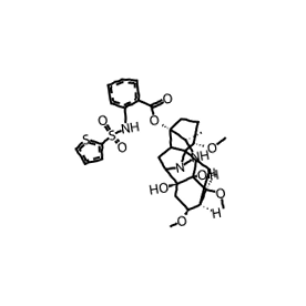 CO[C@H]1C[C@]2(O)C3CC4C5(C6C[C@H]1[C@H](OC)[C@@]62O)[C@@H](OC)CC[C@@]4(OC(=O)c1ccccc1NS(=O)(=O)c1cccs1)[C@H](C)NN35